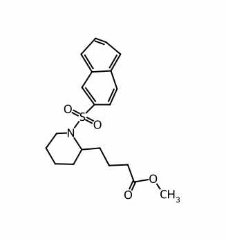 COC(=O)CCCC1CCCCN1S(=O)(=O)c1ccc2ccccc2c1